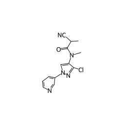 CC(C#N)C(=O)N(C)c1cn(-c2cccnc2)nc1Cl